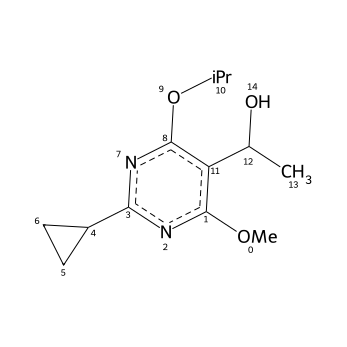 COc1nc(C2CC2)nc(OC(C)C)c1C(C)O